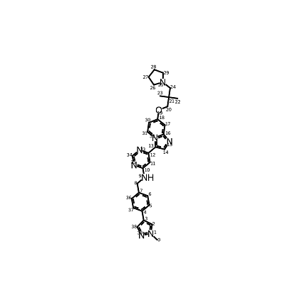 Cn1cc(-c2ccc(CNc3cc(-c4cnc5cc(OCC(C)(C)CN6CCCC6)ccn45)ncn3)cc2)cn1